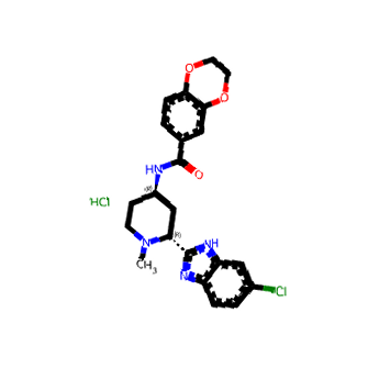 CN1CC[C@@H](NC(=O)c2ccc3c(c2)OCCO3)C[C@@H]1c1nc2ccc(Cl)cc2[nH]1.Cl